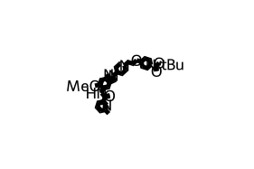 COc1cc2nn(C3CCN(CCOC4CCN(C(=O)OC(C)(C)C)CC4)CC3)cc2cc1NC(=O)c1cccc(C)n1